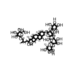 CC(CC[C@@]1(O)OC2CC3C4CC=C5CC(O[C@@H]6O[C@H](CO)[C@@H](O[C@@H]7O[C@@H](C)[C@H](O[C@@H]8O[C@@H](C)[C@H](O)[C@@H](O)[C@H]8O)[C@@H](O)[C@H]7O)[C@H](O)[C@H]6O[C@@H]6O[C@@H](C)[C@H](O)[C@@H](O)[C@H]6O)CCC5(C)C4CCC3(C)C2[C@@H]1C)CO[C@@H]1O[C@H](CO)[C@@H](O)[C@H](O)[C@H]1O